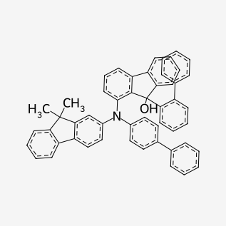 CC1(C)c2ccccc2-c2ccc(N(c3ccc(-c4ccccc4)cc3)c3cccc4c3C(O)(c3ccccc3-c3ccccc3)c3ccccc3-4)cc21